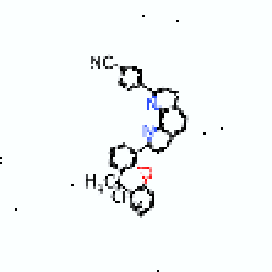 CC1(C)c2ccccc2Oc2c(-c3ccc4ccc5ccc(-c6ccc(C#N)cc6)nc5c4n3)cccc21